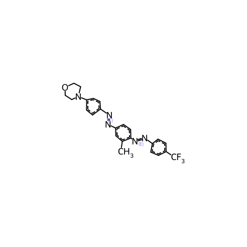 Cc1cc(/N=N/c2ccc(N3CCOCC3)cc2)ccc1/N=N/c1ccc(C(F)(F)F)cc1